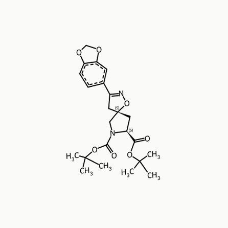 CC(C)(C)OC(=O)[C@@H]1C[C@]2(CC(c3ccc4c(c3)OCO4)=NO2)CN1C(=O)OC(C)(C)C